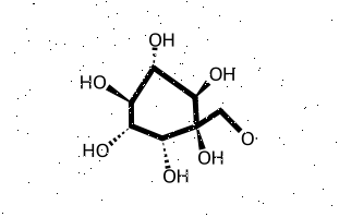 [O]C[C@]1(O)[C@H](O)[C@H](O)[C@@H](O)[C@H](O)[C@H]1O